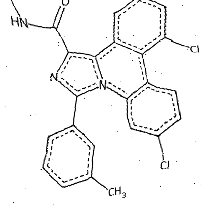 CCNC(=O)c1nc(-c2cccc(C)c2)n2c3cc(Cl)ccc3c3c(Cl)cccc3c12